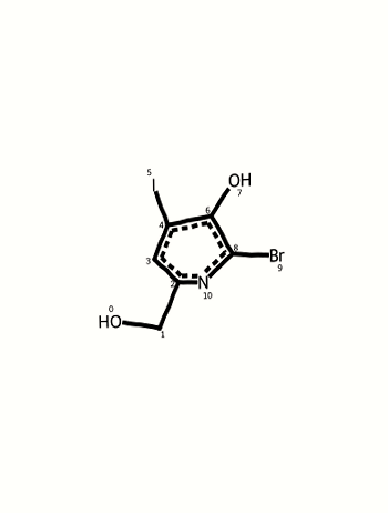 OCc1cc(I)c(O)c(Br)n1